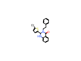 CCc1ccc(C2Nc3ccccc3C(=O)N2CCc2ccccc2)s1